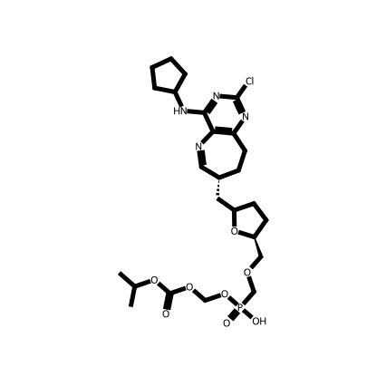 CC(C)OC(=O)OCOP(=O)(O)COC[C@@H]1CCC(C[C@@H]2C=Nc3c(nc(Cl)nc3NC3CCCC3)CC2)O1